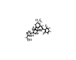 CC[C@H]1CC[C@](CC)(c2cncc(-c3nnc(CO)[nH]3)n2)c2nnc(-c3c(F)cccc3F)cc21